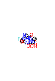 O=C(NC12CCC(CC1)Cn1c2nc(C(=O)NCc2ccc(F)cc2)c(O)c1=O)c1ccnc(N2CCOCC2)c1